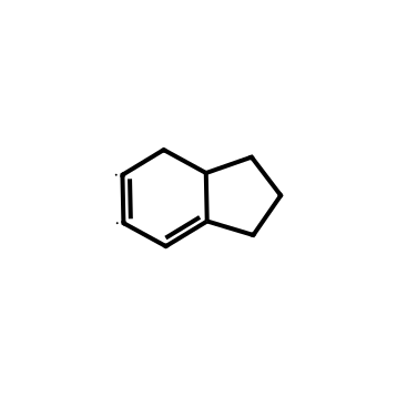 [C]1=[C]CC2CCCC2=C1